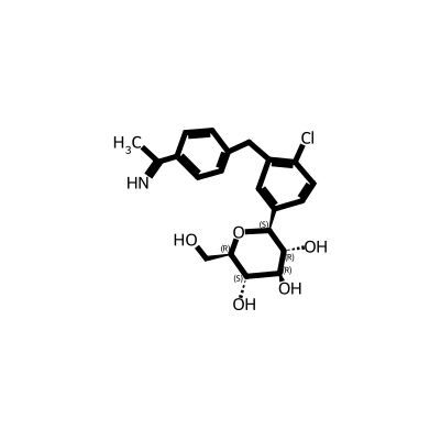 CC(=N)c1ccc(Cc2cc([C@@H]3O[C@H](CO)[C@@H](O)[C@H](O)[C@H]3O)ccc2Cl)cc1